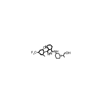 Cc1cc(C(F)(F)F)cc(O)c1-c1nnc(NC2CCCN(C(C)CO)C2)c2cccnc12